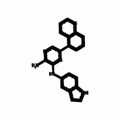 Nc1ncc(-c2cccc3ncccc23)nc1Nc1ccc2[nH]ccc2c1